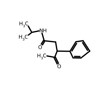 CC(=O)C(CC(=O)NC(C)C)c1ccccc1